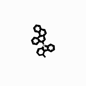 CC1CC=Cc2c1c1ccccc1n2-c1cc2ccc3ccccc3c2c2ccccc12